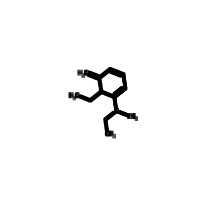 C=C1C=CC=C(N(C)CC)C1CC